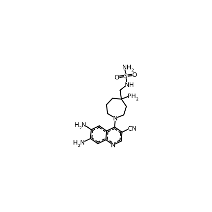 N#Cc1cnc2cc(N)c(N)cc2c1N1CCCC(P)(CNS(N)(=O)=O)CC1